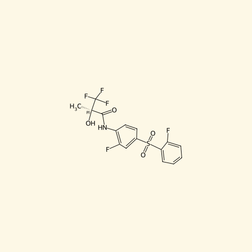 C[C@@](O)(C(=O)Nc1ccc(S(=O)(=O)c2ccccc2F)cc1F)C(F)(F)F